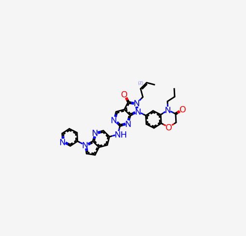 C/C=C\Cn1c(=O)c2cnc(Nc3cnc4c(ccn4-c4cccnc4)c3)nc2n1-c1ccc2c(c1)N(CCC)C(=O)CO2